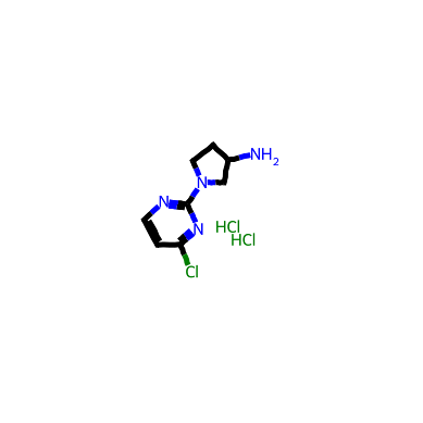 Cl.Cl.NC1CCN(c2nccc(Cl)n2)C1